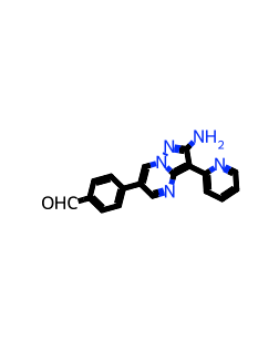 Nc1nn2cc(-c3ccc(C=O)cc3)cnc2c1-c1ccccn1